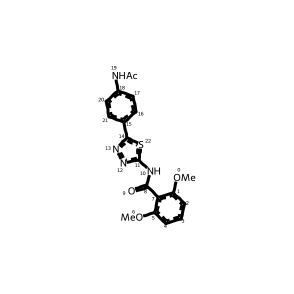 COc1cccc(OC)c1C(=O)Nc1nnc(-c2ccc(NC(C)=O)cc2)s1